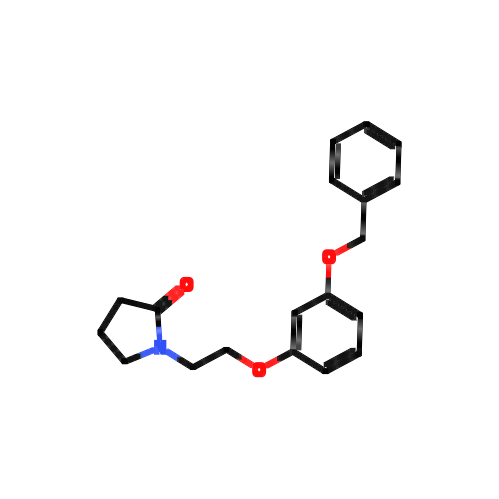 O=C1CCCN1CCOc1cccc(OCc2ccccc2)c1